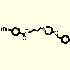 CC(C)(C)c1ccc(C(=O)OCCCCN2CCC(OCc3ccccc3)CC2)cc1